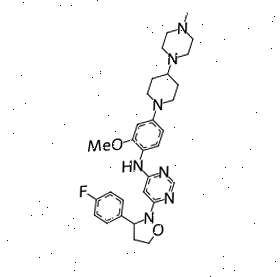 COc1cc(N2CCC(N3CCN(C)CC3)CC2)ccc1Nc1cc(N2OCCC2c2ccc(F)cc2)ncn1